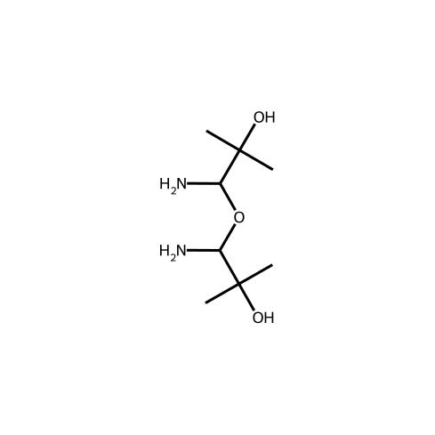 CC(C)(O)C(N)OC(N)C(C)(C)O